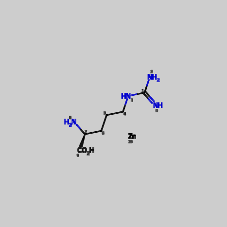 N=C(N)NCCC[C@H](N)C(=O)O.[Zn]